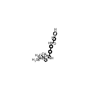 COC(=O)N[C@H](C(=O)N1CCC[C@H]1c1nc(-c2ccc(-c3ccc(NC(=O)c4ccc(N5CCNCC5)nc4)cc3)cc2)c[nH]1)C(C)C